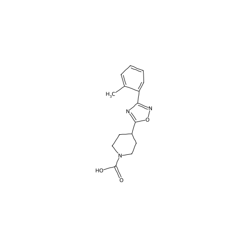 Cc1ccccc1-c1noc(C2CCN(C(=O)O)CC2)n1